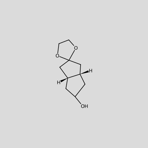 OC1C[C@@H]2CC3(C[C@@H]2C1)OCCO3